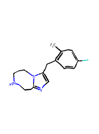 Fc1ccc(Cc2cnc3n2CCNC3)c(C(F)(F)F)c1